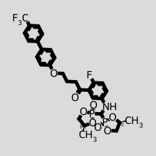 C[C@@H]1COP(=O)(C(Nc2ccc(F)c(C(=O)CCCOc3ccc(-c4ccc(C(F)(F)F)cc4)cc3)c2)P2(=O)OC[C@@H](C)O2)O1